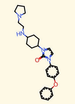 O=c1n(-c2ccc(Oc3ccccc3)cc2)ccn1C1CCC(NCCN2CCCC2)CC1